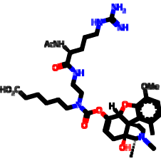 COc1ccc(C)c2c1O[C@H]1C(OC(=O)N(CCCCCC(=O)O)CCNC(=O)[C@H](CCCNC(=N)N)NC(C)=O)=CC[C@@]3(O)[C@@H](C)N(C)CC[C@]213